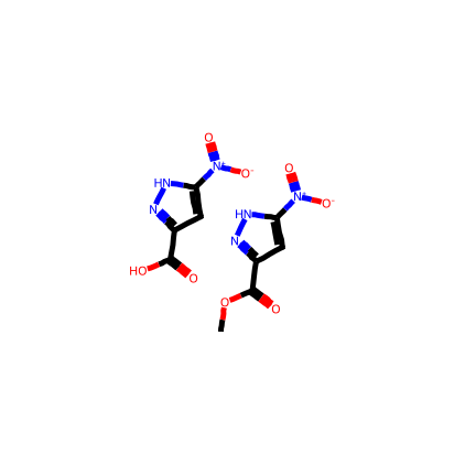 COC(=O)c1cc([N+](=O)[O-])[nH]n1.O=C(O)c1cc([N+](=O)[O-])[nH]n1